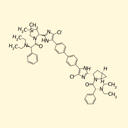 CCN(CC)[C@@H](C(=O)N1C[Si](C)(C)C[C@H]1c1nc(Cl)c(-c2ccc(-c3ccc(-c4[nH]c([C@@H]5C[C@H]6C[C@H]6N5C(=O)[C@@H](c5ccccc5)N(CC)CC)nc4Cl)cc3)cc2)[nH]1)c1ccccc1